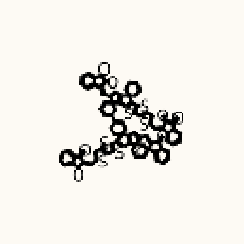 O=C1C(=O)c2ccccc2/C1=C/C1=CC2=C(c3sc4c(sc5cc(/C=C6\C(=O)C(=O)c7ccccc76)sc54)c3C23CCCCC3)C12CCCC(C1CCC3(CC1)C1=C(c4sc5c(sc6cc(C=C7C(=O)c8ccccc8C7=O)sc65)c43)C3(CCCCC3)C(C=C3C(=O)c4ccccc4C3=O)=C1)C2